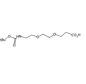 CC(C)(C)OC(=O)NCCOCCOCCC(=O)O